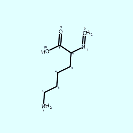 C=NC(CCCCN)C(=O)O